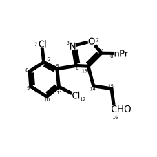 CCCc1onc(-c2c(Cl)cccc2Cl)c1CCC=O